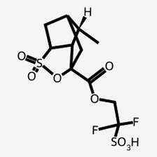 C[C@H]1C2CC3C1C(C(=O)OCC(F)(F)S(=O)(=O)O)(C2)OS3(=O)=O